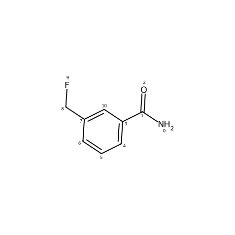 NC(=O)c1cccc(CF)c1